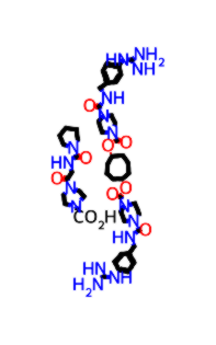 N=C(N)Nc1ccc(CNC(=O)N2CCN(C(=O)O[C@H]3CCC[C@@H](OC(=O)N4CCN(C(=O)NCc5ccc(NC(=N)N)cc5)CC4)CCC3)CC2)cc1.O=C(O)N1CCN(C(=O)CNC(=O)N2CCCCC2)CC1